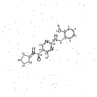 COc1ccccc1CNc1ncc(C(=O)NC2CCCC2)c(C)n1